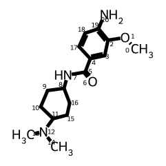 COc1cc(C(=O)NC2CCC(N(C)C)CC2)ccc1N